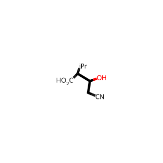 CC(C)C(C(=O)O)C(O)CC#N